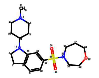 CN1CCC(N2CCc3ccc(S(=O)(=O)N4CCCOCC4)cc32)CC1